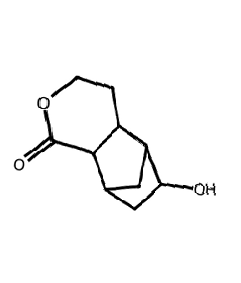 O=C1OCCC2C3CC(CC3O)C12